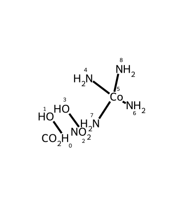 O=C(O)O.O=[N+]([O-])O.[NH2][Co]([NH2])([NH2])[NH2]